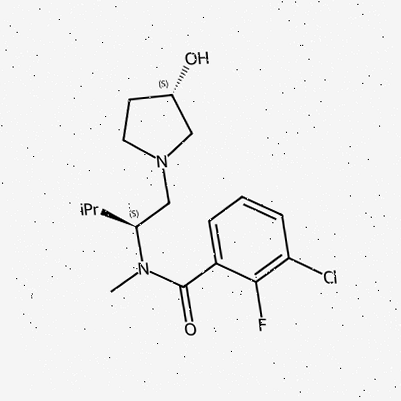 CC(C)[C@@H](CN1CC[C@H](O)C1)N(C)C(=O)c1cccc(Cl)c1F